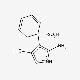 Cc1n[nH]c(N)c1C1(S(=O)(=O)O)C=CC=CC1